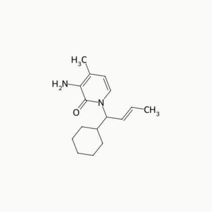 CC=CC(C1CCCCC1)n1ccc(C)c(N)c1=O